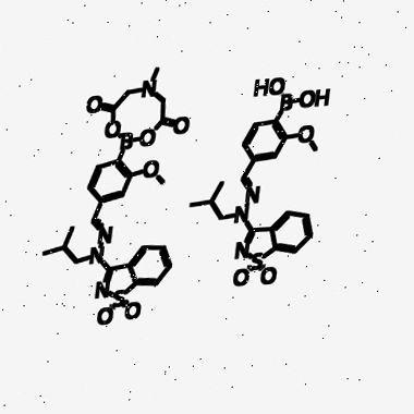 COc1cc(/C=N/N(CC(C)C)C2=NS(=O)(=O)c3ccccc32)ccc1B(O)O.COc1cc(/C=N/N(CC(C)C)C2=NS(=O)(=O)c3ccccc32)ccc1B1OC(=O)CN(C)CC(=O)O1